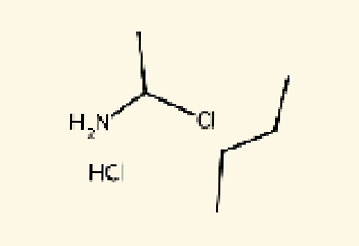 CC(N)Cl.CCCC.Cl